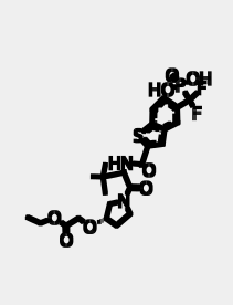 CCOC(=O)CO[C@H]1CCN(C(=O)[C@@H](NC(=O)c2cc3cc(C(F)(F)P(=O)(O)O)ccc3s2)C(C)(C)C)C1